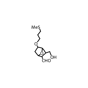 CSCCCOC1CC2OC1C(CO)C2C=O